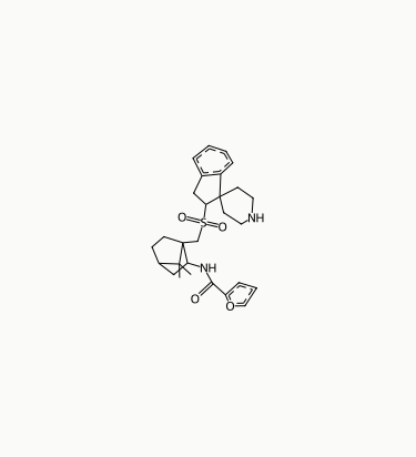 CC1(C)C2CCC1(CS(=O)(=O)C1Cc3ccccc3C13CCNCC3)C(NC(=O)c1ccco1)C2